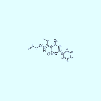 C=CCON/C(CC)=C1/C(=O)C=C(c2ccccc2)OC1=O